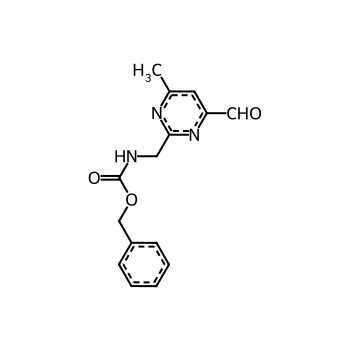 Cc1cc(C=O)nc(CNC(=O)OCc2ccccc2)n1